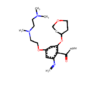 C=Nc1cc(OCCN(C)CCN(C)C)cc(OC2CCOCC2)c1C(=O)NC